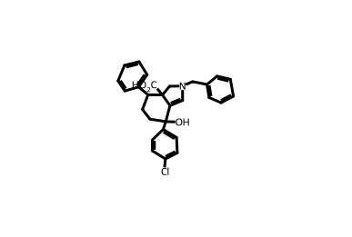 O=C(O)C12CN(Cc3ccccc3)C=C1C(O)(c1ccc(Cl)cc1)CCC2c1ccccc1